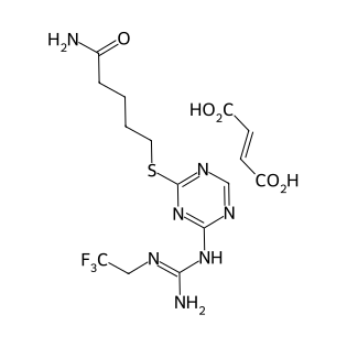 NC(=O)CCCCSc1ncnc(NC(N)=NCC(F)(F)F)n1.O=C(O)C=CC(=O)O